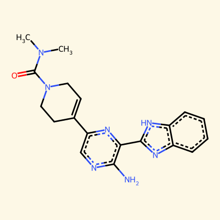 CN(C)C(=O)N1CC=C(c2cnc(N)c(-c3nc4ccccc4[nH]3)n2)CC1